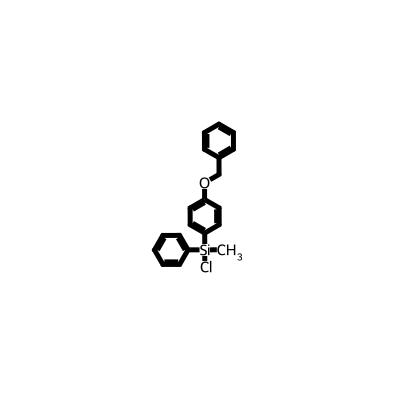 C[Si](Cl)(c1ccccc1)c1ccc(OCc2ccccc2)cc1